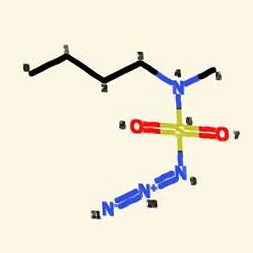 CCCCN(C)S(=O)(=O)N=[N+]=[N-]